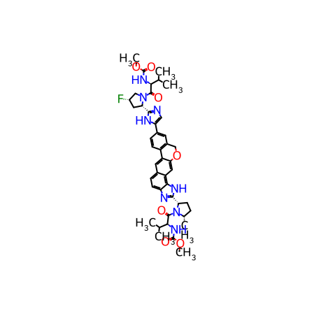 COC(=O)N[C@H](C(=O)N1C[C@@H](F)C[C@H]1c1ncc(-c2ccc3c(c2)COc2cc4c(ccc5nc([C@@H]6CC[C@H](C)N6C(=O)[C@@H](NC(=O)OC)C(C)C)[nH]c54)cc2-3)[nH]1)C(C)C